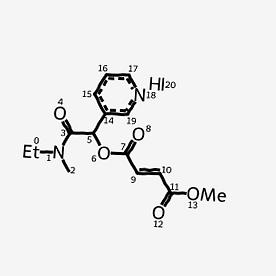 CCN(C)C(=O)C(OC(=O)/C=C/C(=O)OC)c1cccnc1.I